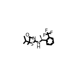 CC(C)C1(C)SC(N[C@@H](C)c2ccccc2C(F)(F)F)=NC1=O